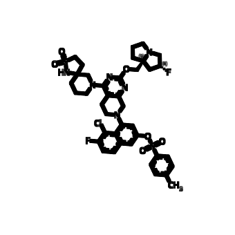 Cc1ccc(S(=O)(=O)Oc2cc(N3CCc4c(nc(OC[C@@]56CCCN5C[C@H](F)C6)nc4N4CCCC5(CCS(=O)(=O)N5)C4)C3)c3c(Cl)c(F)ccc3c2)cc1